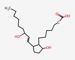 CCCCCCC(O)C=CC1CCC(O)C1CCCCCCC(=O)O